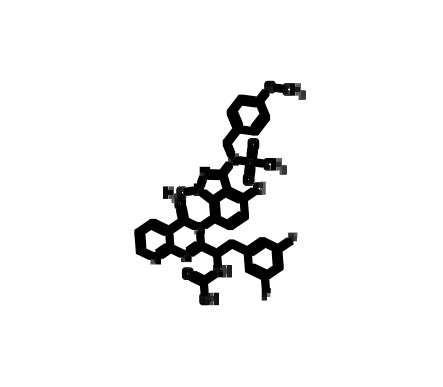 COc1ccc(CN(c2nn(C)c3c(-n4c(C(Cc5cc(F)cc(F)c5)NC(=O)O)nc5ncccc5c4=O)ccc(Cl)c23)S(C)(=O)=O)cc1